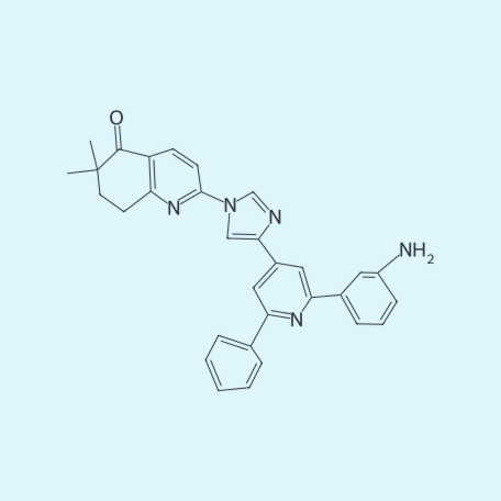 CC1(C)CCc2nc(-n3cnc(-c4cc(-c5ccccc5)nc(-c5cccc(N)c5)c4)c3)ccc2C1=O